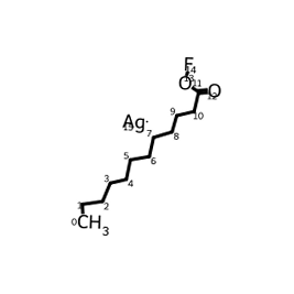 CCCCCCCCCCCC(=O)OF.[Ag]